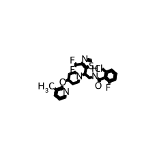 Cc1cccnc1OC1CCN(C(CNC(=O)c2c(F)cccc2Cl)c2scnc2C(F)F)CC1